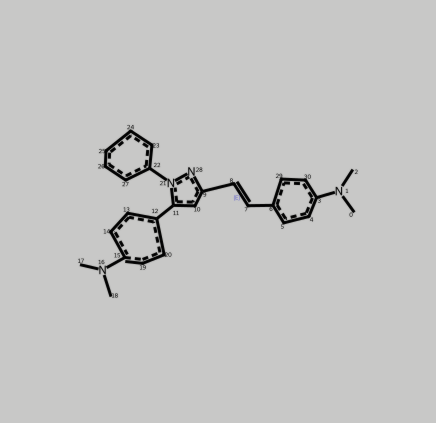 CN(C)c1ccc(/C=C/c2cc(-c3ccc(N(C)C)cc3)n(-c3ccccc3)n2)cc1